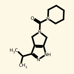 CC(C)c1n[nH]c2c1CN(C(=O)N1CCCCC1)C2